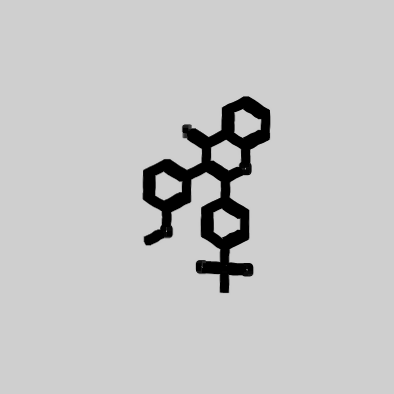 COc1cccc(-c2c(-c3ccc(S(C)(=O)=O)cc3)oc3ccccc3c2=S)c1